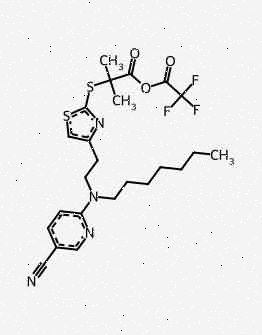 CCCCCCCN(CCc1csc(SC(C)(C)C(=O)OC(=O)C(F)(F)F)n1)c1ccc(C#N)cn1